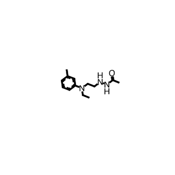 CCN(CCNNC(C)=O)c1cccc(C)c1